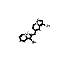 CC(C)(C)c1cnn2ccc(Cc3nn4ccccc4c3C(C)(C)C)cc12